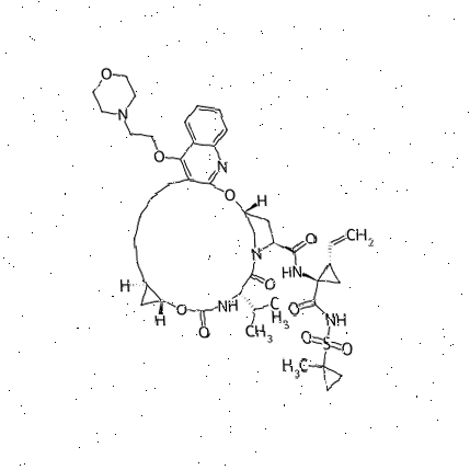 C=C[C@@H]1C[C@]1(NC(=O)[C@@H]1C[C@@H]2CN1C(=O)[C@H](C(C)C)NC(=O)O[C@@H]1C[C@H]1CCCCCc1c(nc3ccccc3c1OCCN1CCOCC1)O2)C(=O)NS(=O)(=O)C1(C)CC1